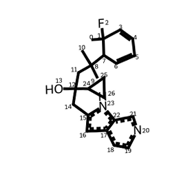 CC1(F)C=CC=CC1C(C)(C)CC(O)(Cc1cc2ccncc2[nH]1)C1CC1